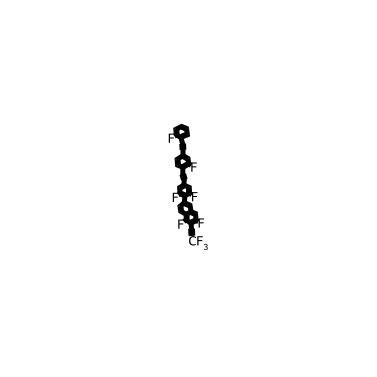 Fc1ccccc1C#Cc1ccc(C#Cc2cc(F)c(-c3ccc4c(F)c(C#CC(F)(F)F)c(F)cc4c3)c(F)c2)c(F)c1